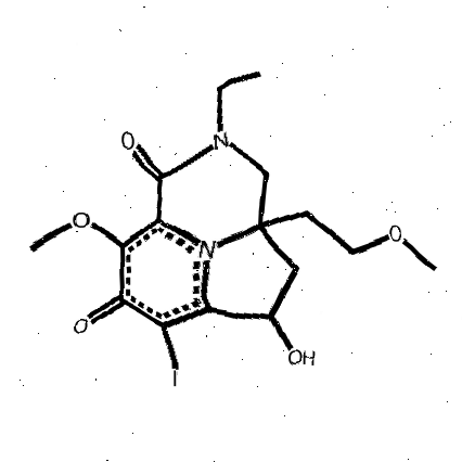 CCN1CC2(CCOC)CC(O)c3c(I)c(=O)c(OC)c(n32)C1=O